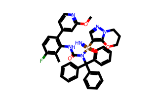 COc1cc(-c2ccc(F)c(C)c2NC(=O)N(C(c2ccccc2)(c2ccccc2)c2ccccc2)S(=N)(=O)c2cnn3c2OCCC3)ccn1